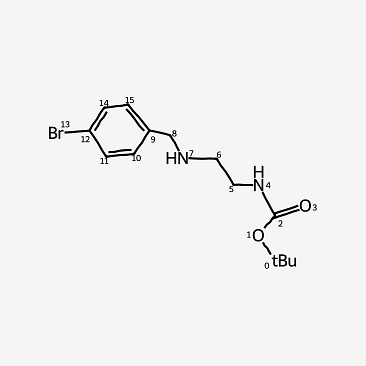 CC(C)(C)OC(=O)NCCNCc1ccc(Br)cc1